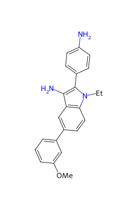 CCn1c(-c2ccc(N)cc2)c(N)c2cc(-c3cccc(OC)c3)ccc21